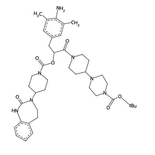 Cc1cc(CC(OC(=O)N2CCC(N3CCc4ccccc4NC3=O)CC2)C(=O)N2CCC(N3CCN(C(=O)OC(C)(C)C)CC3)CC2)cc(C)c1N